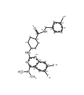 CN(C)c1nc(NC2CCC(C(=O)NCc3cccc(I)c3)CC2)nc2cc(F)c(F)cc12